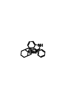 COC1(c2cccc3[nH]cnc23)C2CCCC1CN(Cc1ccccc1)C2